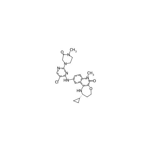 CN1CCN(c2ncc(Cl)c(Nc3ccc4c(c3)c3c(c(=O)n4C)OCC[C@H](C4CC4)N3)n2)CC1=O